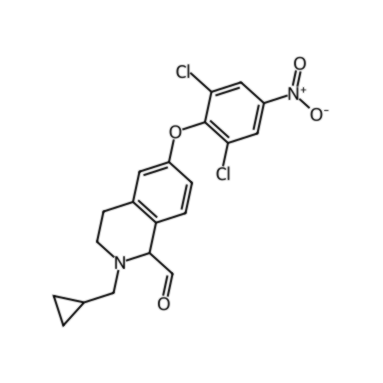 O=CC1c2ccc(Oc3c(Cl)cc([N+](=O)[O-])cc3Cl)cc2CCN1CC1CC1